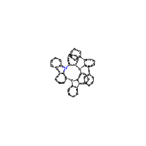 c1ccc(-c2cccc(-c3ccccc3)c2B2c3ccccc3-n3c4ccccc4c4cccc(c43)B3c4ccccc4-c4cccc2c43)cc1